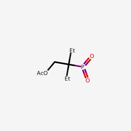 CCC(CC)(COC(C)=O)P(=O)=O